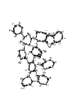 c1ccc(-c2nc(-c3cccc(-c4cc(-c5ccccc5)c(-c5ccccc5)c(-c5ccccc5)c4-c4ccccc4)c3)nc(-c3ccc4c(c3)oc3ccccc34)n2)cc1